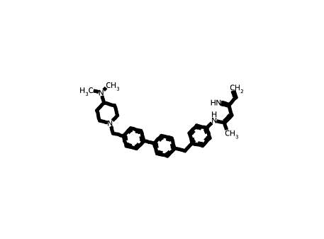 C=CC(=N)/C=C(/C)Nc1ccc(Cc2ccc(-c3ccc(CN4CCC(N(C)C)CC4)cc3)cc2)cc1